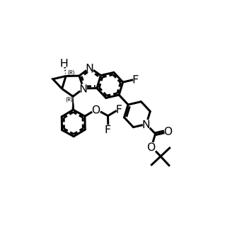 CC(C)(C)OC(=O)N1CC=C(c2cc3c(cc2F)nc2n3[C@@H](c3ccccc3OC(F)F)C3C[C@@H]23)CC1